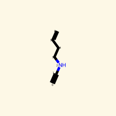 C#CNCCC=C